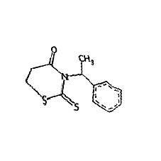 CC(c1ccccc1)N1C(=O)CCSC1=S